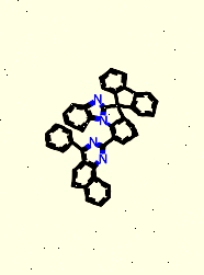 c1ccc(-c2nc(-c3cccc4c3-n3c(nc5ccccc53)C43c4ccccc4-c4ccccc43)nc3c2ccc2ccccc23)cc1